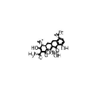 CCN(C)c1ccc(O)c2c1CC1CC3[C@H](N(C)C)C(O)=C(C(N)=O)C(=O)[C@@]3(O)C(O)=C1C2=O.Cl